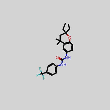 CCC1(CC)CC(C)(C)c2cc(NC(=O)Nc3ccc(C(F)(F)F)cc3)ccc2O1